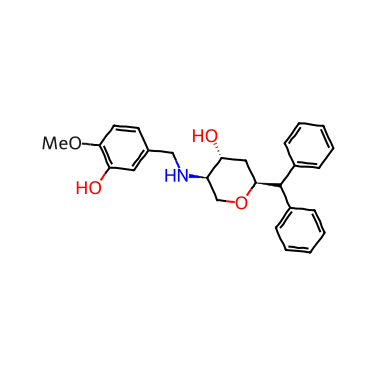 COc1ccc(CN[C@@H]2CO[C@H](C(c3ccccc3)c3ccccc3)C[C@H]2O)cc1O